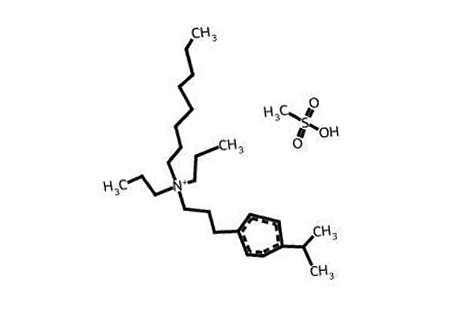 CCCCCCCC[N+](CCC)(CCC)CCCc1ccc(C(C)C)cc1.CS(=O)(=O)O